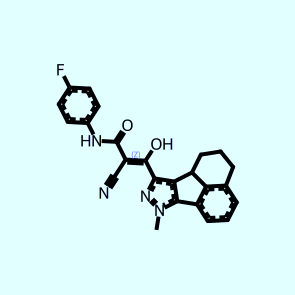 Cn1nc(/C(O)=C(\C#N)C(=O)Nc2ccc(F)cc2)c2c1-c1cccc3c1C2CCC3